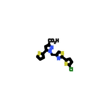 O=C(O)c1cc(-c2cccs2)n(Cc2csc(-c3ccc(Cl)s3)n2)n1